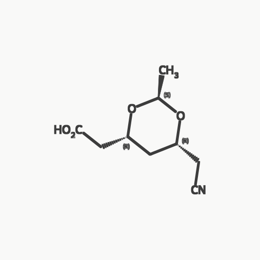 C[C@H]1O[C@H](CC#N)C[C@H](CC(=O)O)O1